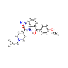 COc1ccc(C(=O)c2cccc(N)c2NC(=O)C2CCN(CC3CC3)CC2)cc1